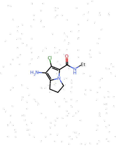 CCNC(=O)c1c(Cl)c(N)c2n1CCC2